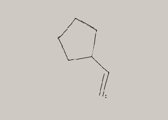 [C]=CC1CCCC1